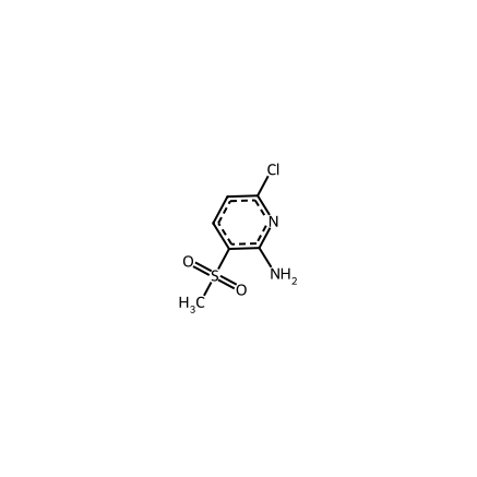 CS(=O)(=O)c1ccc(Cl)nc1N